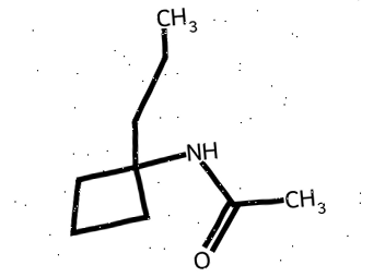 CCCC1(NC(C)=O)CCC1